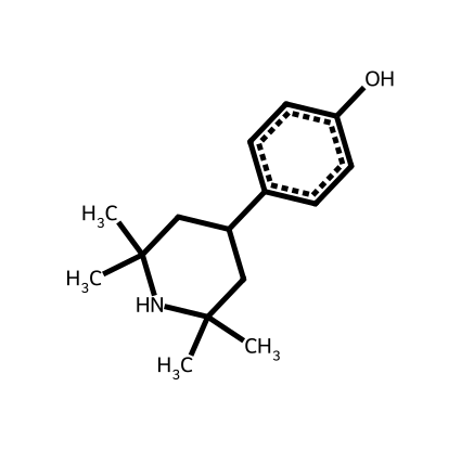 CC1(C)CC(c2ccc(O)cc2)CC(C)(C)N1